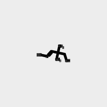 CC(C)(C=NO)CO